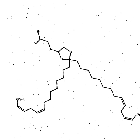 CCCCC/C=C\C/C=C\CCCCCCCCC1(CCCCCCCC/C=C\C/C=C\CCCCC)OCC(CCN(C)C(C)C)O1